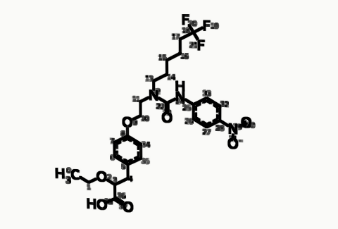 CCOC(Cc1ccc(OCCN(CCCCCC(F)(F)F)C(=O)Nc2ccc([N+](=O)[O-])cc2)cc1)C(=O)O